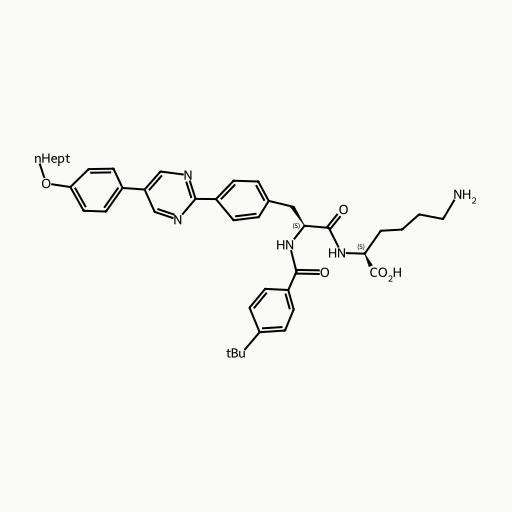 CCCCCCCOc1ccc(-c2cnc(-c3ccc(C[C@H](NC(=O)c4ccc(C(C)(C)C)cc4)C(=O)N[C@@H](CCCCN)C(=O)O)cc3)nc2)cc1